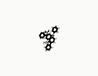 CN(C)C1(c2ccccc2)CCC2(CCCc3c2[nH]c2ccccc32)C(Sc2ccccc2)C1